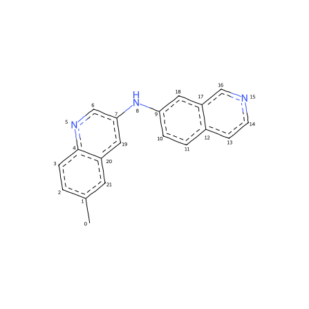 Cc1ccc2ncc(Nc3ccc4ccncc4c3)cc2c1